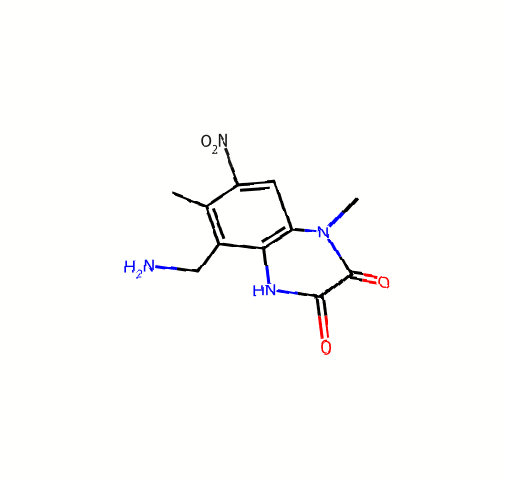 Cc1c([N+](=O)[O-])cc2c([nH]c(=O)c(=O)n2C)c1CN